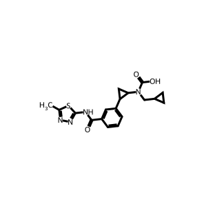 Cc1nnc(NC(=O)c2cccc(C3CC3N(CC3CC3)C(=O)O)c2)s1